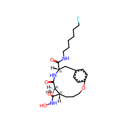 CCCC[C@H]1C(=O)N[C@H](C(=O)NCCCCCCF)Cc2ccc(cc2)OCCC[C@@H]1C(=O)NO